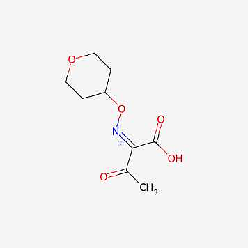 CC(=O)/C(=N/OC1CCOCC1)C(=O)O